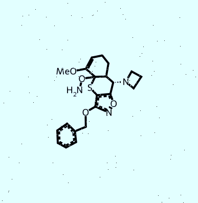 COC1=CCCC2[C@H](N3CCC3)c3onc(OCc4ccccc4)c3SC12ON